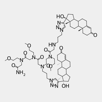 COCCN(CC(N)=O)C(=O)CN(CCOC)C(=O)CN(CCCn1cc([C@]2(O)CCC3C4CCC5=CC(=O)CC[C@]5(C)C4CC[C@@]32C)nn1)C(=O)CN(CCOC)C(=O)CNCCCn1cc([C@]2(O)CCC3C4CCC5=CC(=O)CC[C@]5(C)C4CC[C@@]32C)nn1